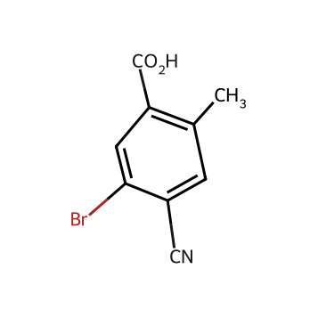 Cc1cc(C#N)c(Br)cc1C(=O)O